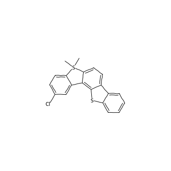 CS1(C)c2ccc(Cl)cc2-c2c1ccc1c2sc2ccccc21